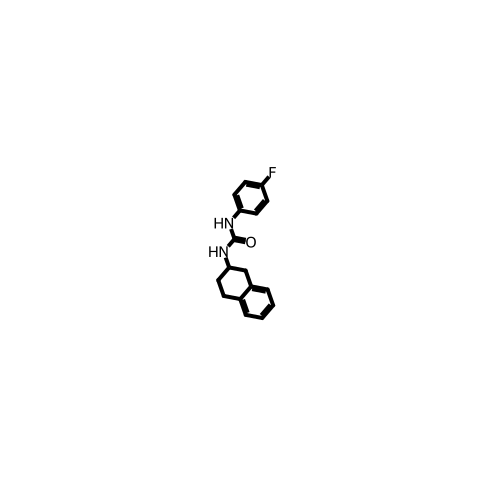 O=C(Nc1ccc(F)cc1)NC1CCc2ccccc2C1